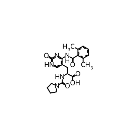 Cc1cccc(C)c1C(=O)Nc1nc(=O)[nH]cc1CC(NC(=O)N1CCCC1)C(=O)O